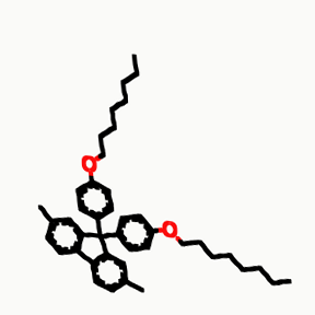 CCCCCCCCOc1ccc(C2(c3ccc(OCCCCCCCC)cc3)c3cc(C)ccc3-c3ccc(C)cc32)cc1